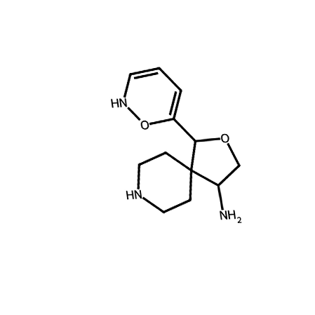 NC1COC(C2=CC=CNO2)C12CCNCC2